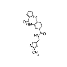 Cn1cc(CNC(=O)c2ccc3c(c2)NC(=O)c2cccn2S3)cn1